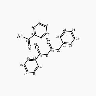 CC(=O)C(=O)c1ccccc1.O=C(CC(=O)c1ccccc1)Cc1ccccc1